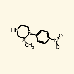 C[C@@H]1CNCCN1c1ccc([N+](=O)[O-])cc1